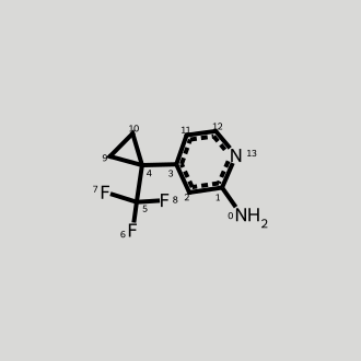 Nc1cc(C2(C(F)(F)F)CC2)ccn1